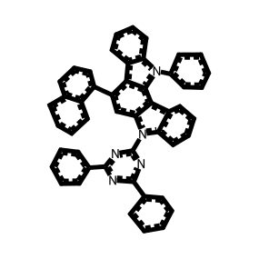 c1ccc(-c2nc(-c3ccccc3)nc(-n3c4ccccc4c4c3cc(-c3cccc5ccccc35)c3c5ccccc5n(-c5ccccc5)c34)n2)cc1